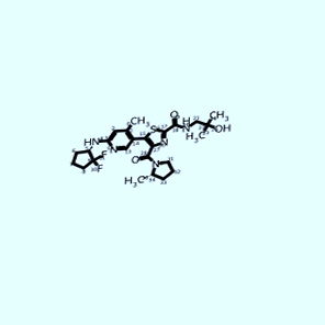 Cc1cc(N[C@H]2CCCC2(F)F)ncc1-c1sc(C(=O)NCC(C)(C)O)nc1C(=O)N1CCC[C@@H]1C